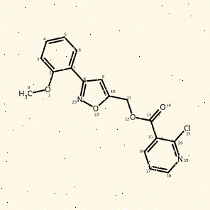 COc1ccccc1-c1cc(COC(=O)c2cccnc2Cl)on1